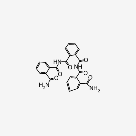 NC(=O)c1ccccc1C(=O)NC(=O)c1ccccc1C(=O)NC(=O)c1ccccc1C(N)=O